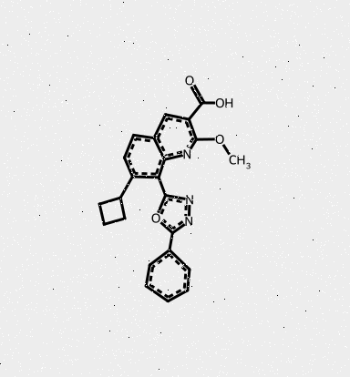 COc1nc2c(-c3nnc(-c4ccccc4)o3)c(C3CCC3)ccc2cc1C(=O)O